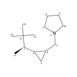 C[C@H](C1CC1CN1CCCC1)C(C)(C)C